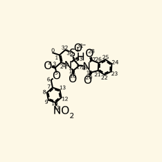 CC1=C(C(=O)OCc2ccc([N+](=O)[O-])cc2)N2C(=O)C(N3C(=O)c4ccccc4C3=O)[C@H]2[S+]([O-])C1